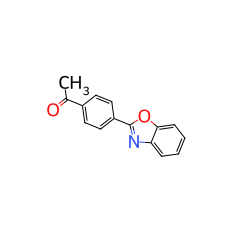 CC(=O)c1ccc(-c2nc3ccccc3o2)cc1